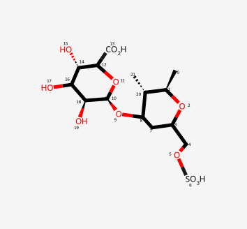 C[C@H]1OC(COS(=O)(=O)O)CC(O[C@@H]2OC(C(=O)O)[C@@H](O)C(O)[C@@H]2O)[C@@H]1C